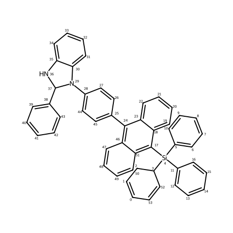 C1=CCC([Si](c2ccccc2)(c2ccccc2)c2c3ccccc3c(-c3ccc(N4c5ccccc5NC4c4ccccc4)cc3)c3ccccc23)C=C1